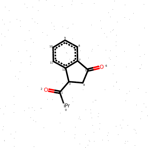 CC(C)C(=O)C1CC(=O)c2ccccc21